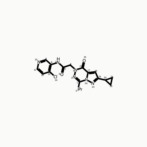 CC(C)c1nn(CC(=O)Nc2cnccc2Cl)c(=O)c2cc(C3CC3)nn12